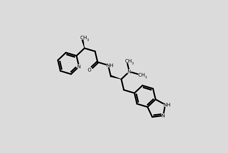 C[C@@H](CC(=O)NC[C@H](Cc1ccc2[nH]ncc2c1)N(C)C)c1ccccn1